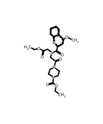 CCOC(=O)CN(CC(=O)N1CCN(C(=O)OCC)CC1)C(=O)c1cc(OC)c2ccccc2n1